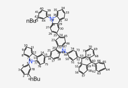 CCCCc1cccc(-n2c3ccccc3c3cc(-c4ccc5c(c4)c4cc(-c6ccc7c(c6)c6ccccc6n7-c6cccc(CCCC)c6)ccc4n5-c4ccc(-c5c6ccccc6c(-c6ccccc6)c6ccccc56)cc4)ccc32)c1